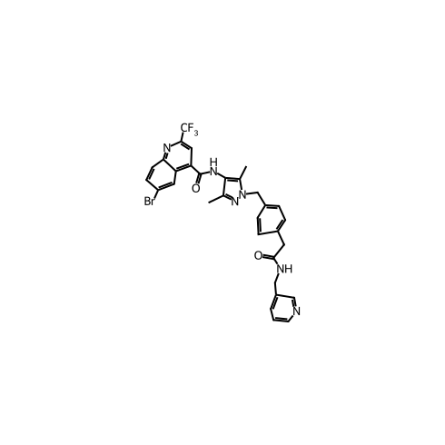 Cc1nn(Cc2ccc(CC(=O)NCc3cccnc3)cc2)c(C)c1NC(=O)c1cc(C(F)(F)F)nc2ccc(Br)cc12